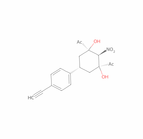 C#Cc1ccc([C@H]2C[C@@](O)(C(C)=O)[C@H]([N+](=O)[O-])[C@@](O)(C(C)=O)C2)cc1